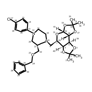 CC1(C)O[C@H]2[C@@H](O1)[C@@H](CN1CCN(c3ccc(Cl)cc3)C[C@@H]1COCc1ccccc1)O[C@@H]1OC(C)(C)O[C@@H]12